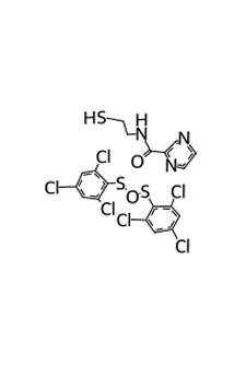 Clc1cc(Cl)c(SOSc2c(Cl)cc(Cl)cc2Cl)c(Cl)c1.O=C(NCCS)c1cnccn1